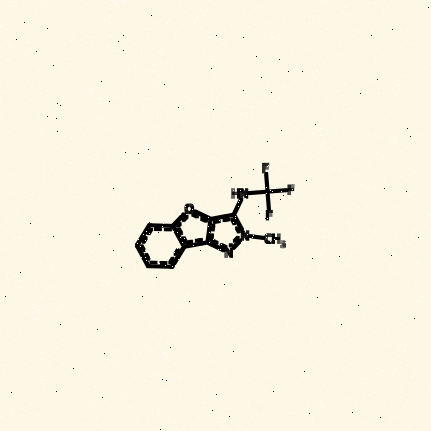 Cn1nc2c(oc3ccccc32)c1NC(F)(F)F